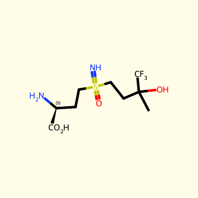 CC(O)(CCS(=N)(=O)CC[C@H](N)C(=O)O)C(F)(F)F